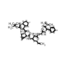 C=CCCC(NC(=O)[C@@H]1C2CC2CN1C(=O)[C@@H](NC(=O)OC(C)(C)C)C1CCCCC1)C(=O)C(=O)NCC(=O)NC(C(=O)N(C)C)c1ccccc1